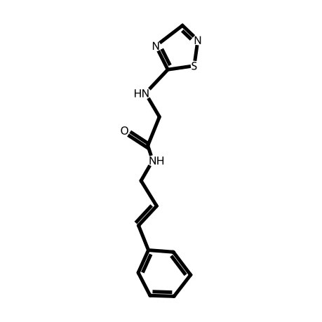 O=C(CNc1ncns1)NCC=Cc1ccccc1